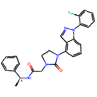 C[C@H](NC(=O)CN1CCN(c2cccc3c2cnn3-c2ccccc2F)C1=O)c1ccccc1